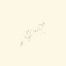 CNC(=NS(=O)(=O)N1CCCC(F)C1)C1=NN(c2ccc(Cl)cc2)C(c2ccccc2)C1